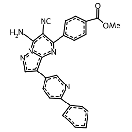 [C-]#[N+]c1c(-c2ccc(C(=O)OC)cc2)nc2c(-c3ccc(-c4ccccc4)nc3)cnn2c1N